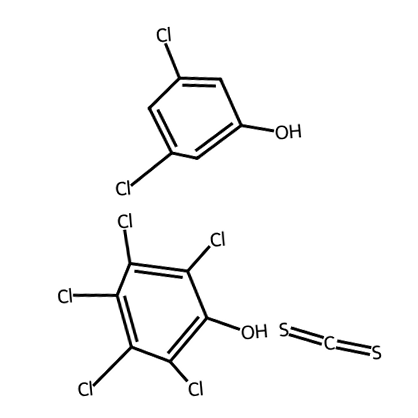 Oc1c(Cl)c(Cl)c(Cl)c(Cl)c1Cl.Oc1cc(Cl)cc(Cl)c1.S=C=S